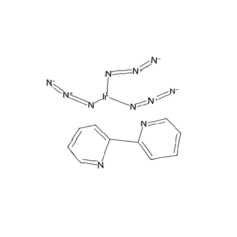 [N-]=[N+]=[N][Ir]([N]=[N+]=[N-])[N]=[N+]=[N-].c1ccc(-c2ccccn2)nc1